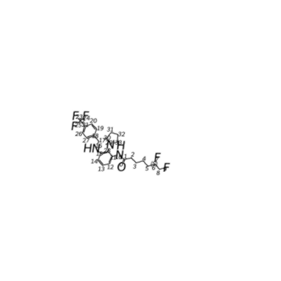 O=C(CCCC[C@H](F)CF)Nc1cccc(NCc2ccc(C(F)(F)F)cc2)c1N1CCCC1